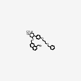 O=C(O)ON1CCC(c2ccc(OCCCOCc3ccccc3)cc2)C(OCc2ccc3cccc(CBr)c3c2)C1